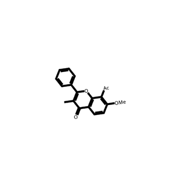 COc1ccc2c(=O)c(C)c(-c3ccccc3)oc2c1C(C)=O